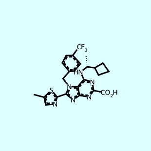 Cc1cnc(-c2nc3nc(C(=O)O)nc(N[C@H](C)C4CCC4)c3n2Cc2ccc(C(F)(F)F)cc2)s1